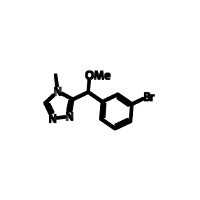 COC(c1cccc(Br)c1)c1nncn1C